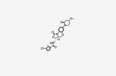 CO[C@H]1CCN(c2ccc3c(c2)OC[C@H]2[C@H](CNC(=O)c4ccc(Cl)s4)OC(=O)N32)C(=O)C1